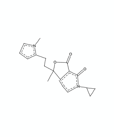 Cn1cccc1CCC1(C)OC(=O)c2c1ccn(C1CC1)c2=O